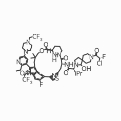 CO[C@@H](C)c1ncc(N2CCN(CC(F)(F)F)CC2)cc1-c1c2c3cc(c(F)cc3n1CC(F)(F)F)-c1csc(n1)C[C@H](NC(=O)[C@H](C(C)C)N1CCC3(CCN(C(=O)[C@H](F)Cl)CC3)C1O)C(=O)N1CCC[C@H](N1)C(=O)OCC(C)(C)C2